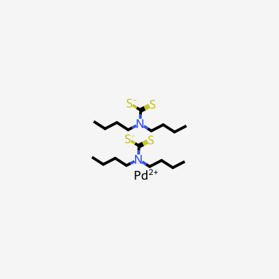 CCCCN(CCCC)C(=S)[S-].CCCCN(CCCC)C(=S)[S-].[Pd+2]